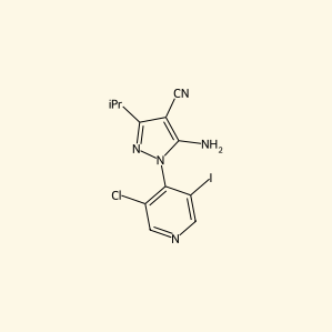 CC(C)c1nn(-c2c(Cl)cncc2I)c(N)c1C#N